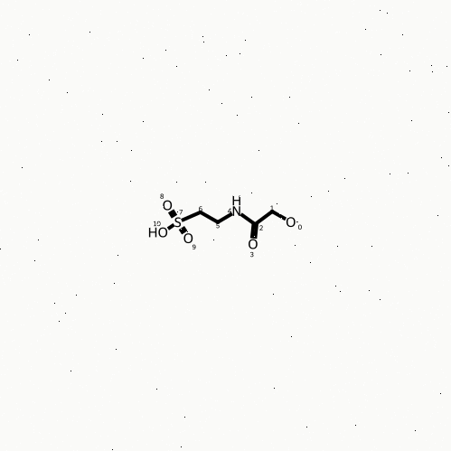 [O]CC(=O)NCCS(=O)(=O)O